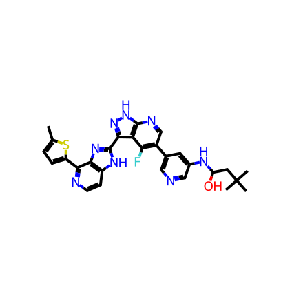 Cc1ccc(-c2nccc3[nH]c(-c4n[nH]c5ncc(-c6cncc(NC(O)CC(C)(C)C)c6)c(F)c45)nc23)s1